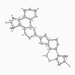 Cc1nc2c([nH]1)-c1ccc3cc(-c4ccc5c(c4)c4cncnc4c4nc(C)[nH]c54)sc3c1OC2